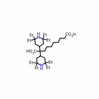 CCC1(CC)CC(C(CCCCCCCC(=O)O)(C(=O)O)C2CC(CC)(CC)NC(CC)(CC)C2)CC(CC)(CC)N1